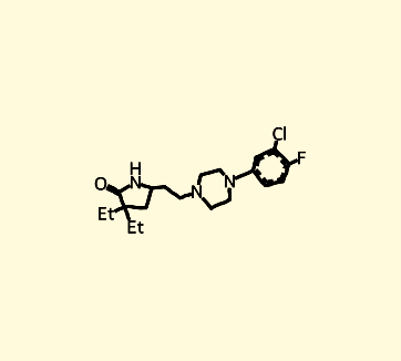 CCC1(CC)CC(CCN2CCN(c3ccc(F)c(Cl)c3)CC2)NC1=O